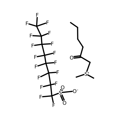 CCCCC(=O)C[S+](C)C.O=S(=O)([O-])C(F)(F)C(F)(F)C(F)(F)C(F)(F)C(F)(F)C(F)(F)C(F)(F)C(F)(F)F